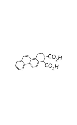 O=C(O)C1CCc2c(ccc3c2ccc2ccccc23)C1C(=O)O